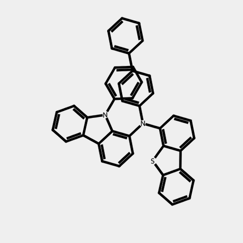 c1ccc(-c2ccc(N(c3cccc4c3sc3ccccc34)c3cccc4c5ccccc5n(-c5ccccc5)c34)cc2)cc1